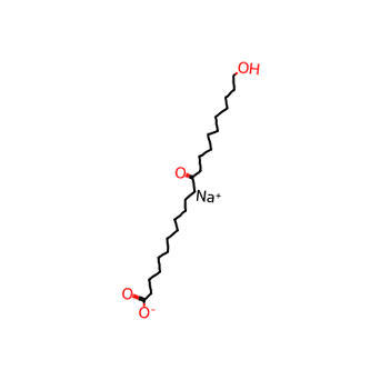 O=C([O-])CCCCCCCCCCCC(=O)CCCCCCCCCCO.[Na+]